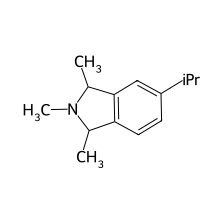 CC(C)c1ccc2c(c1)C(C)N(C)C2C